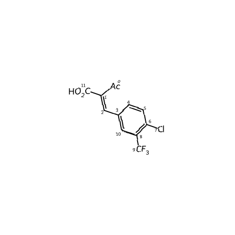 CC(=O)/C(=C\c1ccc(Cl)c(C(F)(F)F)c1)C(=O)O